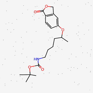 CC(CCCCNC(=O)OC(C)(C)C)Oc1ccc2c(c1)COC2=O